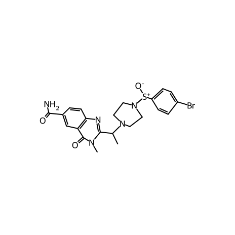 CC(c1nc2ccc(C(N)=O)cc2c(=O)n1C)N1CCN([S+]([O-])c2ccc(Br)cc2)CC1